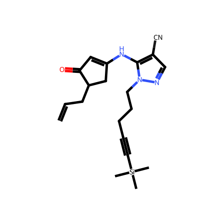 C=CCC1CC(Nc2c(C#N)cnn2CCCC#C[Si](C)(C)C)=CC1=O